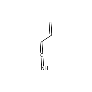 C=CC=C=N